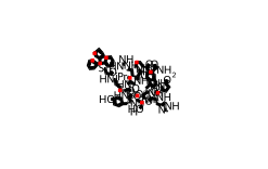 CC(C)C[C@H](NC(=O)[C@@H](CCCCNC(=O)CCSC(c1ccccc1)(c1ccccc1)c1ccccc1)NC(=O)[C@H](Cc1ccc(O)cc1)NC(=O)[C@H](CO)NC(=O)[C@H](Cc1c[nH]c2ccccc12)NC(=O)[C@H](Cc1c[nH]cn1)NC(=O)[C@@H]1CCC(=O)N1)C(=O)N[C@@H](CCCNC(=N)N)C(=O)N1CCC[C@H]1C(=O)NCC(N)=O